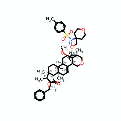 CO[C@@H]1C[C@@]23COC[C@](C)([C@@H]2CC[C@H]2C3=CC[C@@]3(C)[C@H](C(=O)OCc4ccccc4)[C@@](C)([C@H](C)C(C)C)CC[C@]23C)[C@H]1OCC1(NS(=O)(=O)c2ccc(C)cc2)CCOCC1